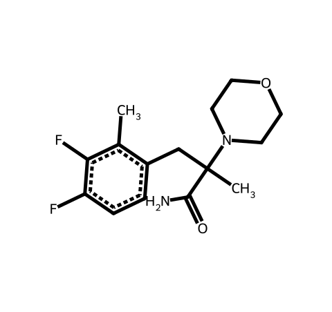 Cc1c(CC(C)(C(N)=O)N2CCOCC2)ccc(F)c1F